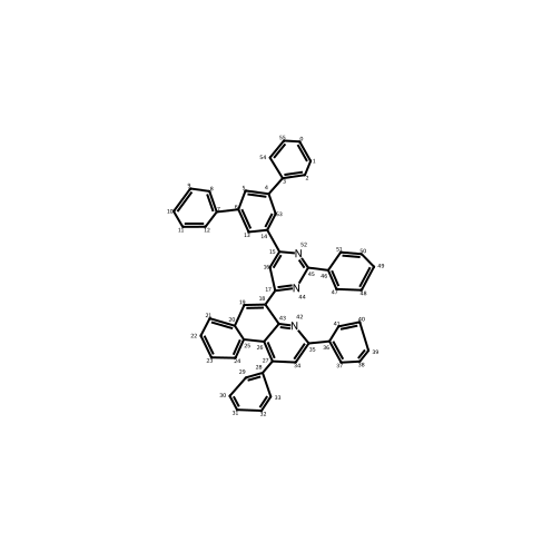 c1ccc(-c2cc(-c3ccccc3)cc(-c3cc(-c4cc5ccccc5c5c(-c6ccccc6)cc(-c6ccccc6)nc45)nc(-c4ccccc4)n3)c2)cc1